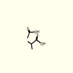 CC(C)C(O)=S.CC(O)=S